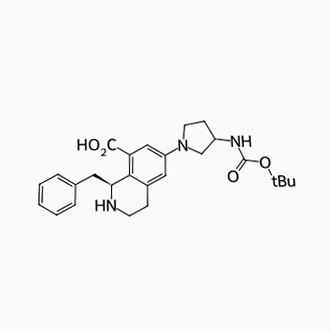 CC(C)(C)OC(=O)NC1CCN(c2cc3c(c(C(=O)O)c2)[C@H](Cc2ccccc2)NCC3)C1